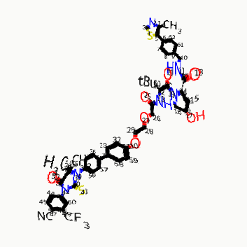 Cc1ncsc1-c1ccc(CNC(=O)[C@@H]2C[C@@H](O)CN2C(=O)[C@@H](NC(=O)COCCOc2ccc(-c3ccc(N4C(=S)N(c5ccc(C#N)c(C(F)(F)F)c5)C(=O)C4(C)C)cc3)cc2)C(C)(C)C)cc1